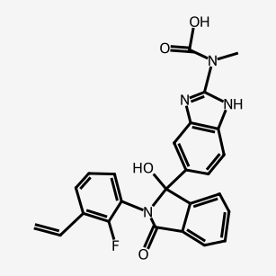 C=Cc1cccc(N2C(=O)c3ccccc3C2(O)c2ccc3[nH]c(N(C)C(=O)O)nc3c2)c1F